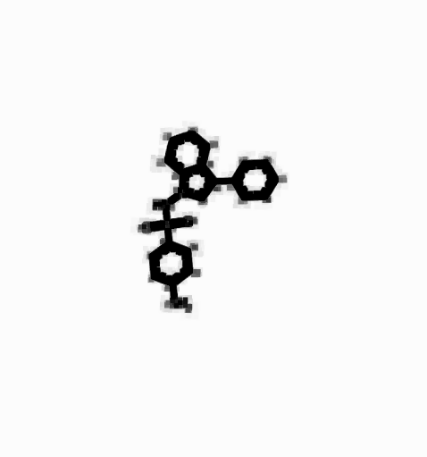 Nc1ccc(S(=O)(=O)Nn2cc(-c3ccccc3)c3ccccc32)cc1